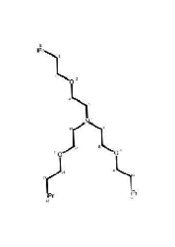 CC(C)CCOCCN(CCOCCC(C)C)CCOCCC(C)C